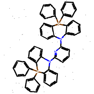 c1ccc(S2(c3ccccc3)c3ccccc3N(c3cccc(N4c5ccccc5S(c5ccccc5)(c5ccccc5)c5ccccc54)n3)c3ccccc32)cc1